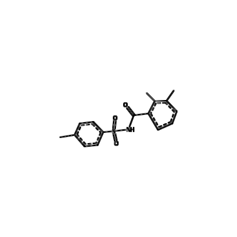 Cc1ccc(S(=O)(=O)NC(=O)c2cccc(C)c2C)cc1